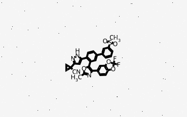 Cc1nc(-c2ccc3c(c2)OC(F)(F)O3)c(-c2cc(-c3cccc(S(C)(=O)=O)c3)ccc2-c2cc(C3(C#N)CC3)n[nH]2)o1